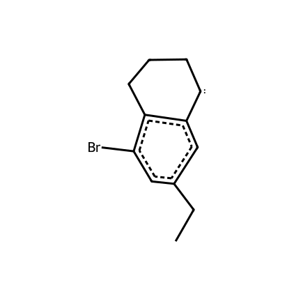 CCc1cc(Br)c2c(c1)[C]CCC2